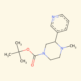 CN1CCN(C(=O)OC(C)(C)C)CC1c1cccnc1